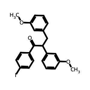 COc1cccc(CC(C(=O)c2ccc(I)cc2)c2cccc(OC)c2)c1